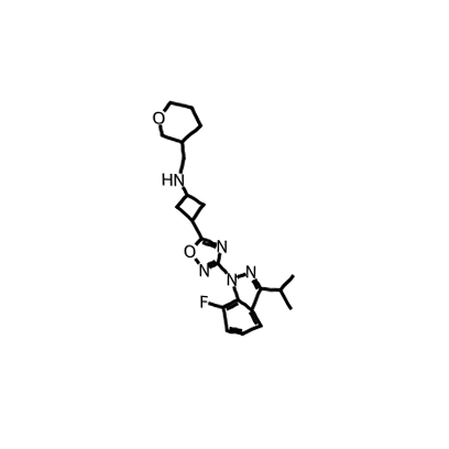 CC(C)c1nn(-c2noc(C3CC(NCC4CCCOC4)C3)n2)c2c(F)cccc12